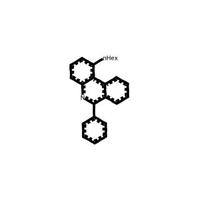 CCCCCCc1cccc2nc(-c3ccccc3)c3ccccc3c12